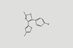 Cc1csc(-c2nc(C)sc2-c2ccc(F)cc2)c1